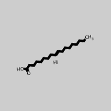 CCCCCCCCC=CCCCCCCCC(=O)O.I